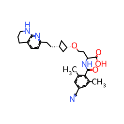 Cc1cc(C#N)cc(C)c1C(=O)NC(CCO[C@H]1C[C@@H](CCc2ccc3c(n2)NCCC3)C1)C(=O)O